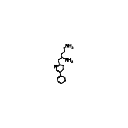 NCCCC(N)Cc1ccc(-c2ccccc2)cn1